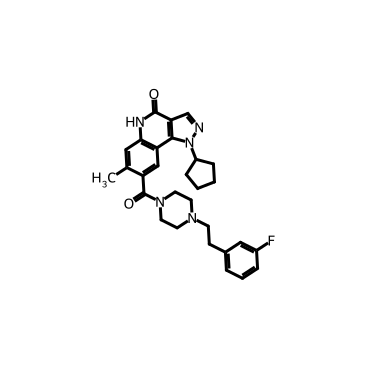 Cc1cc2[nH]c(=O)c3cnn(C4CCCC4)c3c2cc1C(=O)N1CCN(CCc2cccc(F)c2)CC1